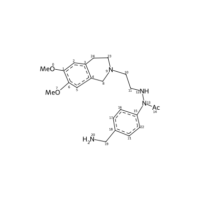 COc1cc2c(cc1OC)CN(CCNN(C(C)=O)c1ccc(CN)cc1)CC2